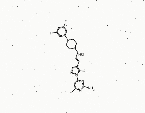 Cc1cc(-n2ncc(/C=C/CN3CCN(c4cc(F)cc(F)c4)CC3)c2C)nc(N)n1.Cl